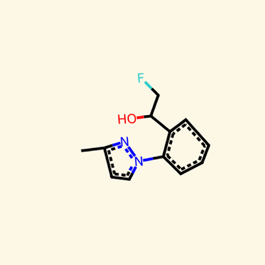 Cc1ccn(-c2ccccc2C(O)CF)n1